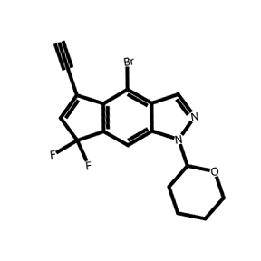 C#CC1=CC(F)(F)c2cc3c(cnn3C3CCCCO3)c(Br)c21